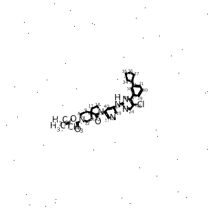 CC(C)(C)OC(=O)N1CCC2(CC1)CCN(c1cncc(Nc3ncc(Cl)c(-c4cccc(C5CCCC5)c4)n3)c1)C2=O